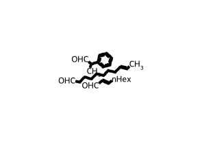 C/C=C/CCCCCCCC=O.CC(C=O)c1ccccc1.CCCCCC/C=C/C=O